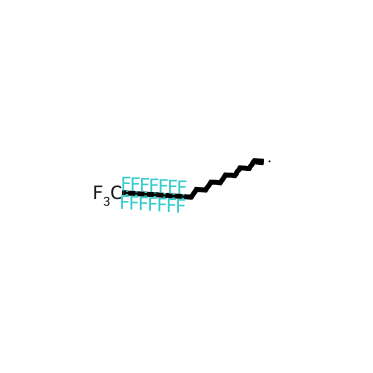 [CH]=CCCCCCCCCCC(F)(F)C(F)(F)C(F)(F)C(F)(F)C(F)(F)C(F)(F)C(F)(F)C(F)(F)F